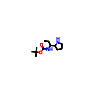 CCC(NC(=O)OC(C)(C)C)C1CCCN1